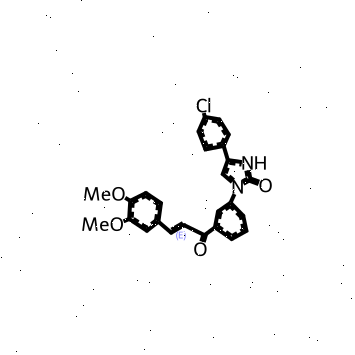 COc1ccc(/C=C/C(=O)c2cccc(-n3cc(-c4ccc(Cl)cc4)[nH]c3=O)c2)cc1OC